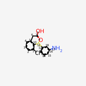 Cc1cccc(CC(=O)O)c1Sc1cccc(N)c1